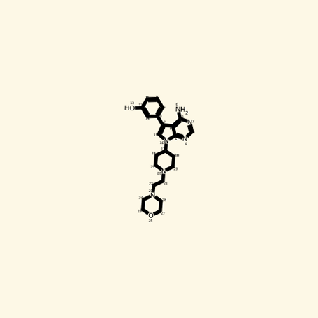 Nc1ncnc2c1c(-c1cccc(O)c1)cn2C1CCN(CCN2CCOCC2)CC1